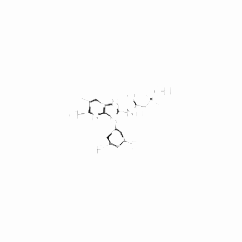 Cc1cc2nc(NC(=O)CC(C)(C)O)n(-c3cc(F)cc(F)c3)c2nc1Cl